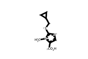 Cn1c(C(=O)O)cnc1SCC1CC1